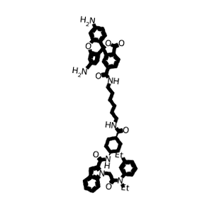 CCc1cccc(N(CC)C(=O)Cn2c(C(=O)N[C@H]3CC[C@H](C(=O)NCCCCCCNC(=O)c4ccc5c(c4)C4(OC5=O)c5ccc(N)cc5Oc5cc(N)ccc54)CC3)cc3ccccc32)c1